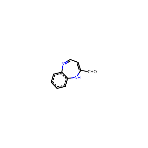 O=CC1=CC=Nc2ccccc2N1